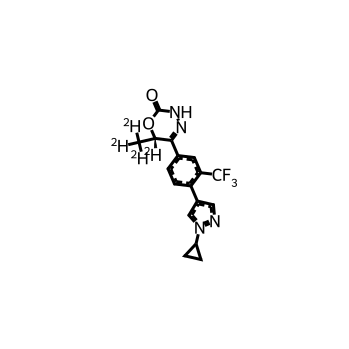 [2H]C([2H])([2H])[C@]1([2H])OC(=O)NN=C1c1ccc(-c2cnn(C3CC3)c2)c(C(F)(F)F)c1